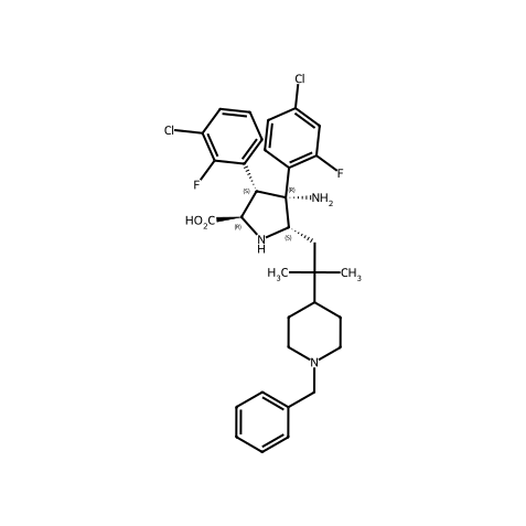 CC(C)(C[C@@H]1N[C@@H](C(=O)O)[C@H](c2cccc(Cl)c2F)[C@@]1(N)c1ccc(Cl)cc1F)C1CCN(Cc2ccccc2)CC1